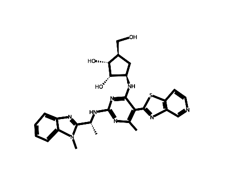 Cc1nc(N[C@H](C)c2nc3ccccc3n2C)nc(N[C@@H]2C[C@H](CO)[C@@H](O)[C@H]2O)c1-c1nc2cnccc2s1